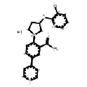 Cl.NC(=O)c1cc(-c2ccncc2)ccc1N1CCC(Oc2ncccc2Cl)C1